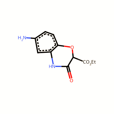 CCOC(=O)C1Oc2ccc(N)cc2NC1=O